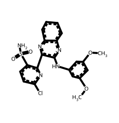 COc1cc(Nc2nc3ccccc3nc2-c2nc(Cl)ccc2S(N)(=O)=O)cc(OC)c1